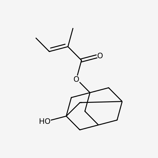 CC=C(C)C(=O)OC12CC3CC(CC(O)(C3)C1)C2